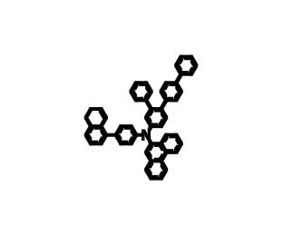 C1=Cc2c(cccc2-c2ccc(N(c3ccc(-c4ccc(-c5ccccc5)cc4)c(-c4ccccc4)c3)c3cc4ccccc4c4ccccc34)cc2)CC1